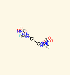 COC(=O)N[C@H](C(=O)N1C[C@](C)(F)C[C@H]1c1ncc(-c2ccc(C#Cc3ccc4nc([C@@H]5CC6(CCCC6)CN5C(=O)[C@@H](NC(=O)OC)C(C)C)[nH]c4c3)cc2)[nH]1)C(C)C